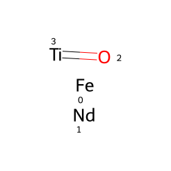 [Fe].[Nd].[O]=[Ti]